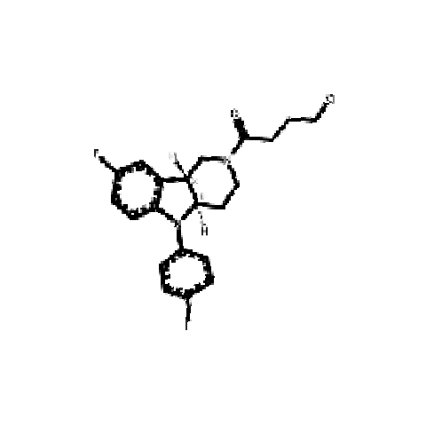 O=C(CCCCl)N1CC[C@@H]2[C@@H](C1)c1cc(F)ccc1N2c1ccc(F)cc1